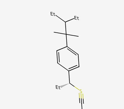 CC#S[C@H](CC)c1ccc(C(C)(C)C(CC)CC)cc1